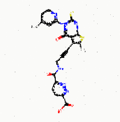 Cc1ccnc(-n2c(S)nc3sc(C)c(C#CCNC(=O)c4ccc(C(=O)O)nn4)c3c2=O)c1